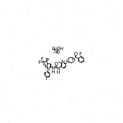 CS(=O)(=O)O.Cc1ccc(-n2nc(C3(C(F)(F)F)CC3)cc2NC(=O)Nc2ccc(N3CCN(C(=O)c4ccccc4F)CC3)nc2C)cc1